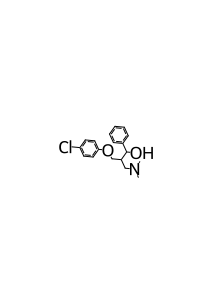 CN(C)CC(COc1ccc(Cl)cc1)C(O)c1ccccc1